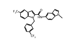 Cn1ccc2cc(NC(=O)c3cc4cc(C(F)(F)F)ccc4n3Cc3cccc(C(F)(F)F)c3)ccc21